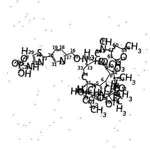 CCC(=O)/N=C1\[C@H](C)C[C@@]2(C)OC/C(=N/OCc3ccc(-c4nc(NP(=O)(O)O)cs4)cn3)CC[C@H]([C@H]1C)[C@](C)(O)[C@@H](CC)OC(=O)[C@@](C)(F)C(=O)[C@H](C)[C@H]2O[C@@H]1O[C@H](C)C[C@H](N(C)C)[C@H]1O